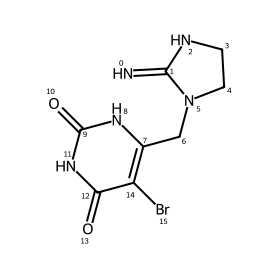 N=C1NCCN1Cc1[nH]c(=O)[nH]c(=O)c1Br